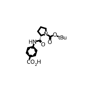 CC(C)(C)OC(=O)N1CCC[C@H]1C(=O)Nc1ccc(C(=O)O)cc1